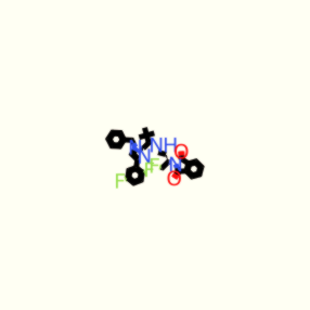 CC(C)(C)[C@@H](NCC[C@@H](CF)N1C(=O)c2ccccc2C1=O)c1nc(-c2cc(F)ccc2F)cn1Cc1ccccc1